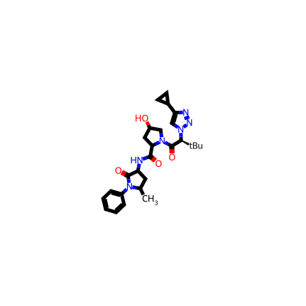 CC1CC(NC(=O)C2CC(O)CN2C(=O)[C@@H](n2cc(C3CC3)nn2)C(C)(C)C)C(=O)N1c1ccccc1